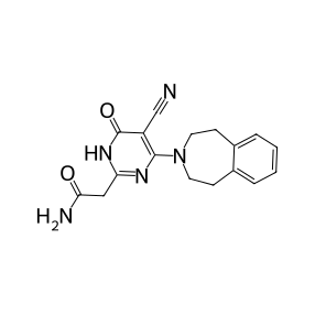 N#Cc1c(N2CCc3ccccc3CC2)nc(CC(N)=O)[nH]c1=O